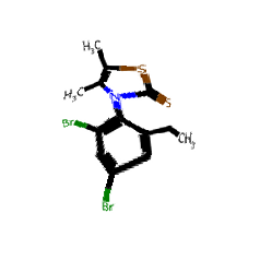 CCc1cc(Br)cc(Br)c1-n1c(C)c(C)sc1=S